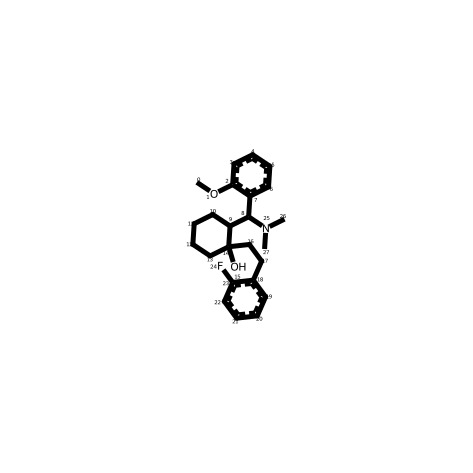 COc1ccccc1C(C1CCCCC1(O)CCc1ccccc1F)N(C)C